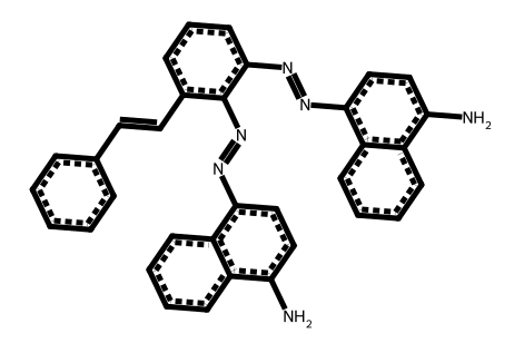 Nc1ccc(N=Nc2cccc(C=Cc3ccccc3)c2N=Nc2ccc(N)c3ccccc23)c2ccccc12